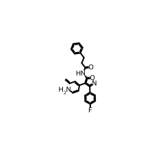 C=C/C=C(\C=C/N)c1c(-c2ccc(F)cc2)noc1NC(=O)CCc1ccccc1